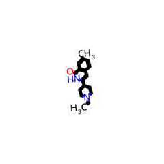 CCN1CCC(c2cc3ccc(C)cc3c(=O)[nH]2)CC1